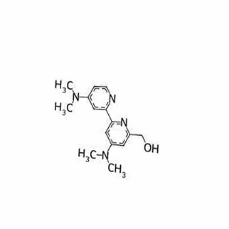 CN(C)c1ccnc(-c2cc(N(C)C)cc(CO)n2)c1